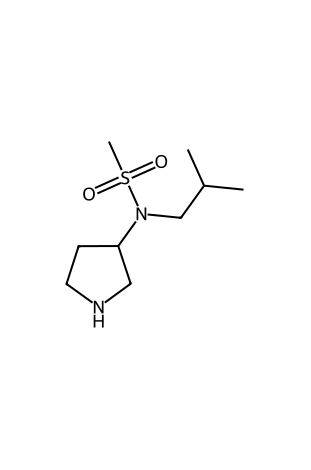 CC(C)CN(C1CCNC1)S(C)(=O)=O